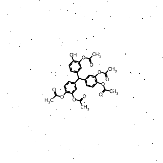 CC(=O)Oc1cc(C(c2ccc(OC(C)=O)c(OC(C)=O)c2)c2ccc(OC(C)=O)c(OC(C)=O)c2)ccc1O